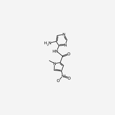 Cn1cc([N+](=O)[O-])cc1C(=O)Nc1ncncc1N